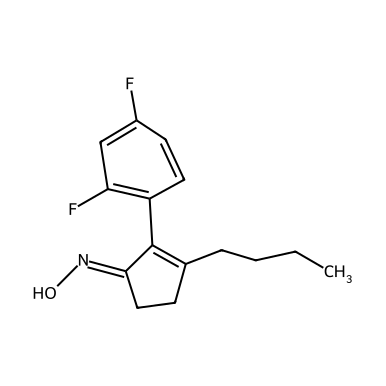 CCCCC1=C(c2ccc(F)cc2F)C(=NO)CC1